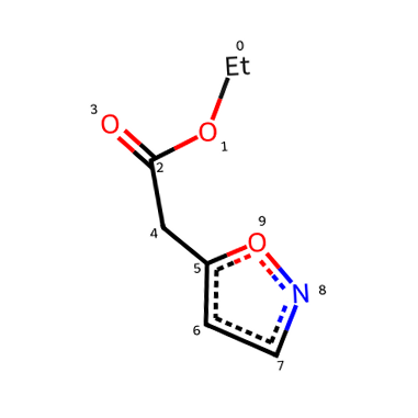 CCOC(=O)Cc1ccno1